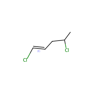 CC(Cl)C/C=C/Cl